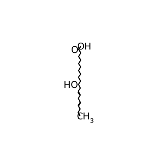 CCCC=CCC=CCC(O)CCCCCCCCCC(=O)O